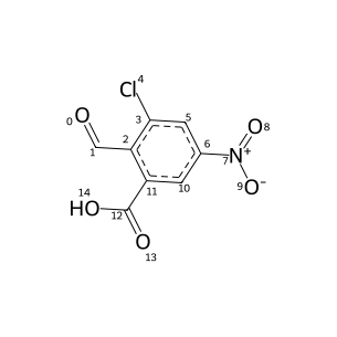 O=Cc1c(Cl)cc([N+](=O)[O-])cc1C(=O)O